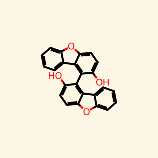 Oc1ccc2oc3ccccc3c2c1-c1c(O)ccc2oc3ccccc3c12